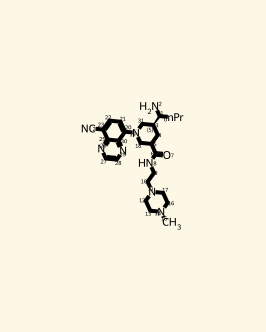 CCCC(N)[C@H]1CC(C(=O)NCCN2CCN(C)CC2)CN(c2ccc(C#N)c3nccnc23)C1